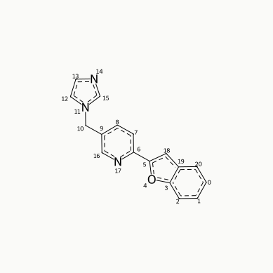 c1ccc2oc(-c3ccc(Cn4ccnc4)cn3)cc2c1